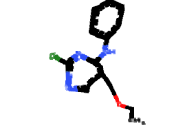 CCOCc1cnc(Cl)nc1Nc1ccccc1